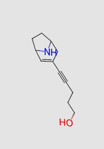 OCCCC#CC1=CC2CCC(C1)N2